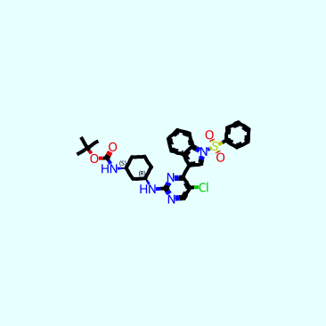 CC(C)(C)OC(=O)N[C@H]1CCC[C@@H](Nc2ncc(Cl)c(-c3cn(S(=O)(=O)c4ccccc4)c4ccccc34)n2)C1